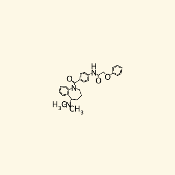 CN(C)C1CCCN(C(=O)c2ccc(NC(=O)COc3ccccc3)cc2)c2ccccc21